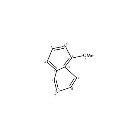 COc1nccc2cn[c]cc12